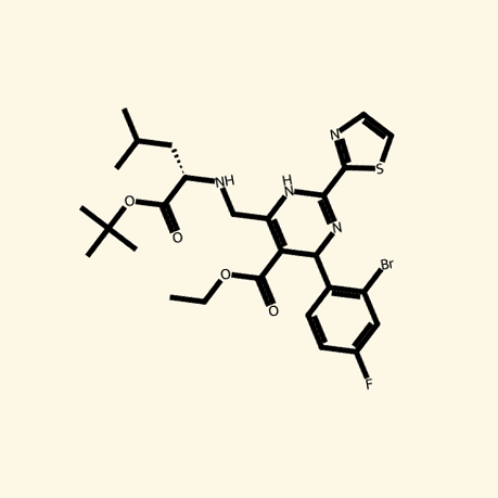 CCOC(=O)C1=C(CN[C@@H](CC(C)C)C(=O)OC(C)(C)C)NC(c2nccs2)=NC1c1ccc(F)cc1Br